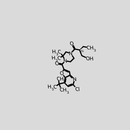 CC[C@@H](CO)C(=O)N1CCN(C(=O)c2cc3nc(Cl)cc(C(C)(C)C)c3o2)C(C)(C)C1